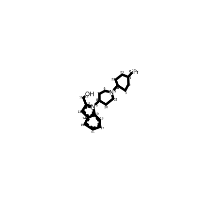 CC(C)C1CCC(N2CCC(n3c(CO)cc4ccccc43)CC2)CC1